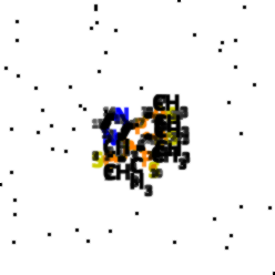 CP(C)(=S)CP(CP(C)(C)=S)c1nccnc1P(CP(C)(C)=S)CP(C)(C)=S